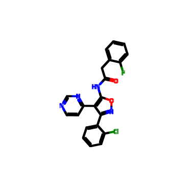 O=C(Cc1ccccc1F)Nc1onc(-c2ccccc2Cl)c1-c1ccncn1